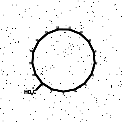 O=C(O)[C]1CCCCCCCCCCCCCCCC1